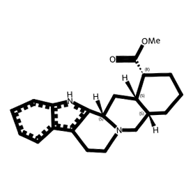 COC(=O)[C@@H]1CCC[C@@H]2CN3CCc4c([nH]c5ccccc45)[C@@H]3C[C@@H]21